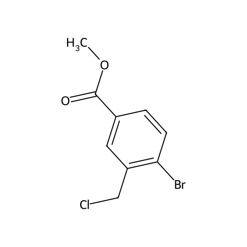 COC(=O)c1ccc(Br)c(CCl)c1